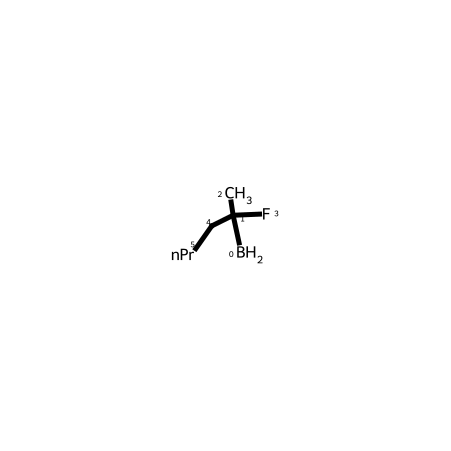 BC(C)(F)CCCC